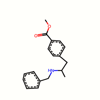 COC(=O)c1ccc(CC(C)NCc2ccccc2)cc1